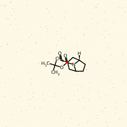 CC(C)(C)OC(=O)N1C2CC[C@H]1C[C@H](C=O)C2